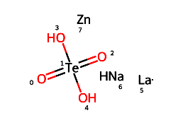 O=[Te](=O)(O)O.[La].[NaH].[Zn]